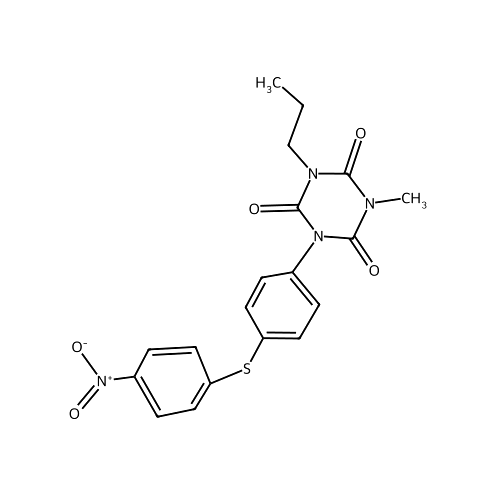 CCCn1c(=O)n(C)c(=O)n(-c2ccc(Sc3ccc([N+](=O)[O-])cc3)cc2)c1=O